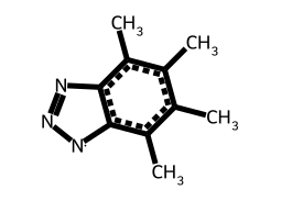 Cc1c(C)c(C)c2c(c1C)[N]N=N2